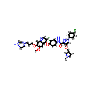 COc1cc2c(Oc3ccc(NC(=O)c4nn(-c5ccc(F)cc5)cc4OCC4CCN(C)C4)cc3F)ccnc2cc1OCCCN1CCNCC1